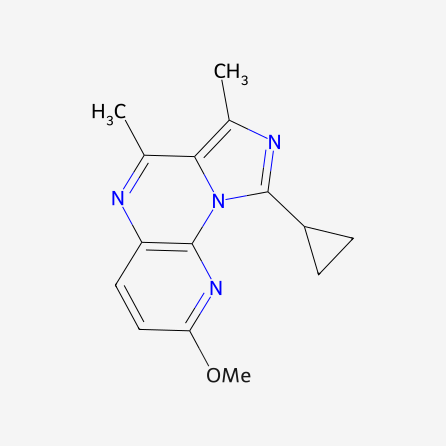 COc1ccc2nc(C)c3c(C)nc(C4CC4)n3c2n1